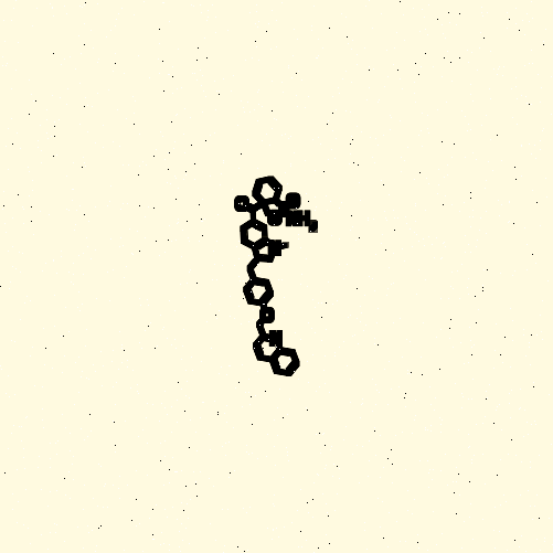 Cn1cc(Cc2ccc(OCc3ccc4ccccc4n3)cc2)c2ccc(C(=O)C3(C)C=CC=CC3S(N)(=O)=O)cc21